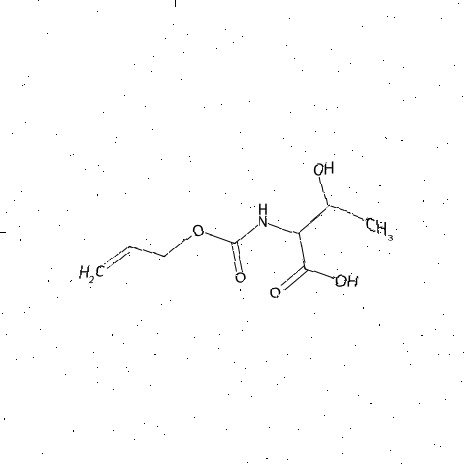 C=CCOC(=O)NC(C(=O)O)C(C)O